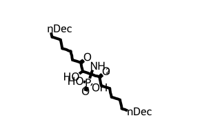 CCCCCCCCCCCCCCCC(=O)C(O)C(N)(C(=O)CCCCCCCCCCCCCCC)P(=O)(O)O